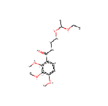 CCOC(C)OCC[CH]C(=O)c1ccc(OC)c(OC)c1OC